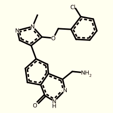 Cn1ncc(-c2ccc3c(=O)[nH]nc(CN)c3c2)c1OCc1ccccc1Cl